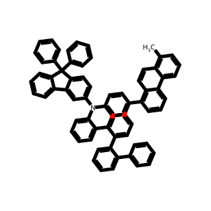 Cc1cccc2c1ccc1c(-c3ccc(N(c4ccc5c(c4)-c4ccccc4C5(c4ccccc4)c4ccccc4)c4ccccc4-c4ccccc4-c4ccccc4-c4ccccc4)cc3)cccc12